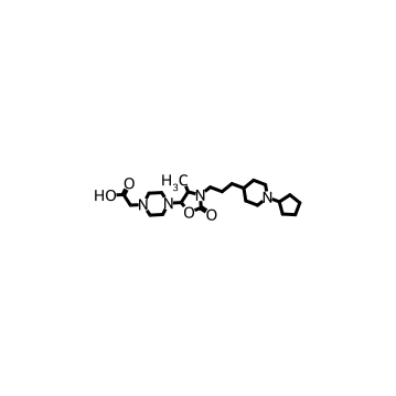 CC1C(N2CCN(CC(=O)O)CC2)OC(=O)N1CCCC1CCN(C2CCCC2)CC1